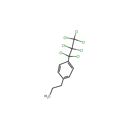 [CH2]CCc1ccc(C(Cl)(Cl)C(Cl)(Cl)C(Cl)(Cl)Cl)cc1